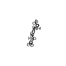 CCOC(=O)c1cccc(NC(=O)N2CCC3(CC2)CC(C(=O)NCc2ccc(OC)c(OC)c2)=NO3)c1